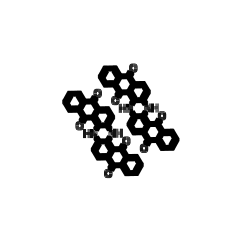 O=c1c2ccccc2c(=O)c2c1ccc1[nH]c3c(ccc4c(=O)c5ccccc5c(=O)c43)[nH]c12.O=c1c2ccccc2c(=O)c2c1ccc1[nH]c3c(ccc4c(=O)c5ccccc5c(=O)c43)[nH]c12